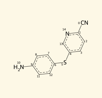 N#Cc1ccc(Sc2ccc(N)cc2)cn1